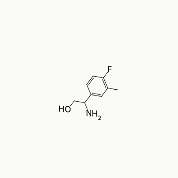 Cc1cc(C(N)CO)ccc1F